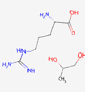 CC(O)CO.N=C(N)NCCC[C@H](N)C(=O)O